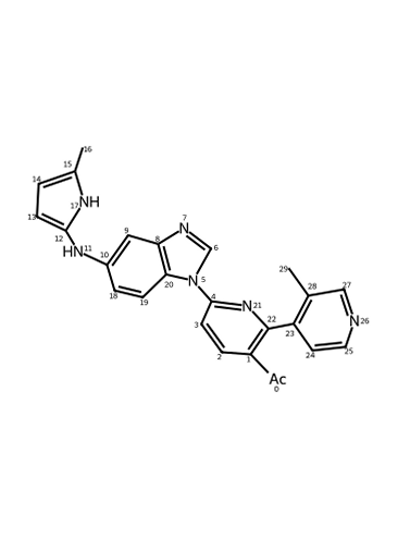 CC(=O)c1ccc(-n2cnc3cc(Nc4ccc(C)[nH]4)ccc32)nc1-c1ccncc1C